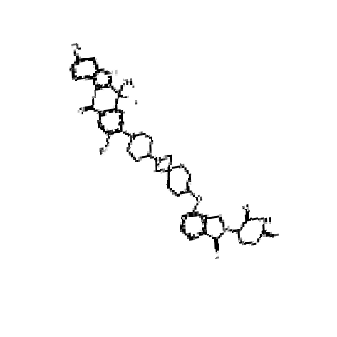 CCc1cc2c(cc1N1CCC(N3CC4(CCC(Oc5cccc6c5CN(C5CCC(=O)NC5=O)C6=O)CC4)C3)CC1)C(C)(C)c1[nH]c3cc(C#N)ccc3c1C2=O